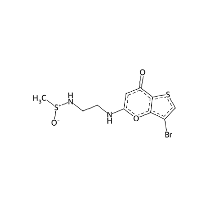 C[S+]([O-])NCCNc1cc(=O)c2scc(Br)c2o1